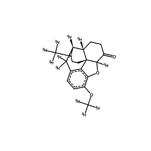 [2H]C([2H])([2H])Oc1ccc2c3c1OC1([2H])C(=O)CC[C@]4([2H])[C@@]31CCN(C([2H])([2H])[2H])[C@]4([2H])C2([2H])[2H]